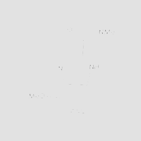 CNC(=O)c1nc2c(OC)cccc2[nH]1